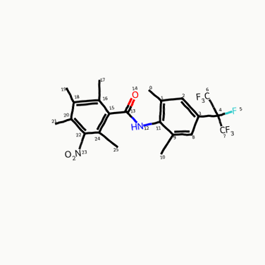 Cc1cc(C(F)(C(F)(F)F)C(F)(F)F)cc(C)c1NC(=O)c1c(C)c(C)c(C)c([N+](=O)[O-])c1C